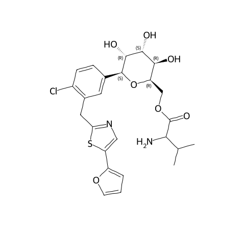 CC(C)C(N)C(=O)OC[C@H]1O[C@@H](c2ccc(Cl)c(Cc3ncc(-c4ccco4)s3)c2)[C@H](O)[C@H](O)[C@H]1O